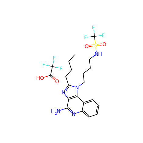 CCCCc1nc2c(N)nc3ccccc3c2n1CCCCNS(=O)(=O)C(F)(F)F.O=C(O)C(F)(F)F